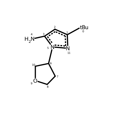 CC(C)(C)c1cc(N)n(C2CCOC2)n1